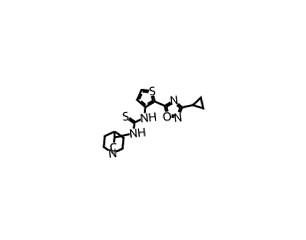 S=C(Nc1ccsc1-c1nc(C2CC2)no1)NC1CN2CCC1CC2